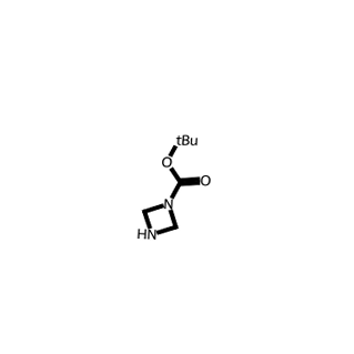 CC(C)(C)OC(=O)N1CNC1